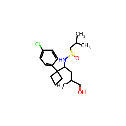 CC(C)C[S+]([O-])NC(CC(C)CO)C1(c2ccc(Cl)cc2)CCC1